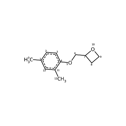 Cc1ccc(OCC2CCO2)c(C)c1